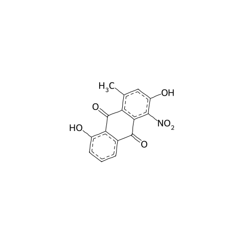 Cc1cc(O)c([N+](=O)[O-])c2c1C(=O)c1c(O)cccc1C2=O